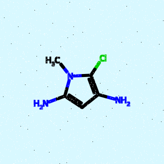 Cn1c(N)cc(N)c1Cl